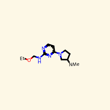 CCOCNc1nccc(N2CCC(NC)C2)n1